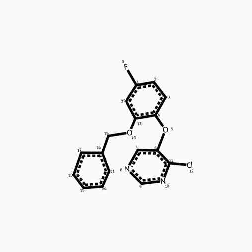 Fc1ccc(Oc2cncnc2Cl)c(OCc2ccccc2)c1